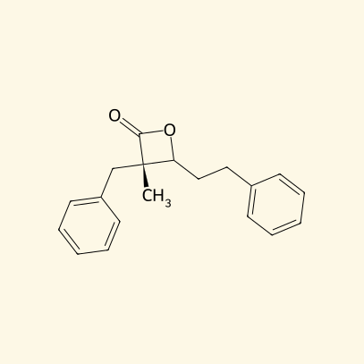 C[C@@]1(Cc2ccccc2)C(=O)OC1CCc1ccccc1